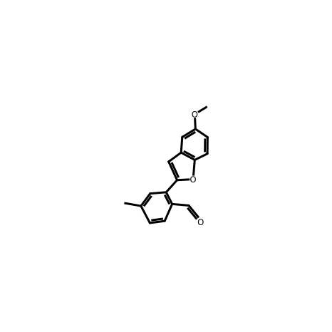 COc1ccc2oc(-c3cc(C)ccc3C=O)cc2c1